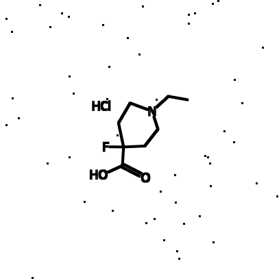 CCN1CCC(F)(C(=O)O)CC1.Cl